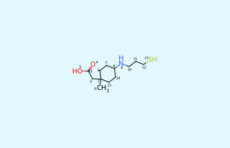 CC1(CC(=O)O)CCC(NCCCS)CC1